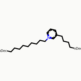 CCCCCCCCCCCCCCCCCCC[n+]1cccc(CCCCCCCCCCCCCC)c1